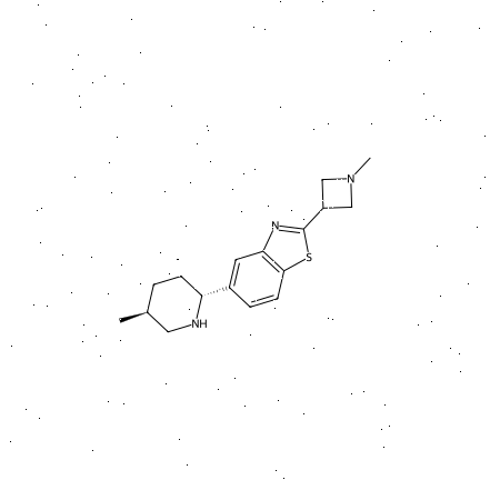 C[C@H]1CC[C@H](c2ccc3sc(C4CN(C)C4)nc3c2)NC1